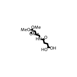 CO[Si](CCCNC(=O)CCC(O)O)(OC)OC